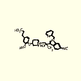 [C-]#[N+]c1ccc2c(C(O)(CN3CCC(Oc4ccc(CCC(=O)O)cc4OC)CC3)C(F)(F)F)cn(Cc3ccccn3)c2c1